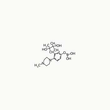 CC(C)(O)C(C)(C)O.CN1CCN(c2ccc(OB(O)O)cc2)CC1